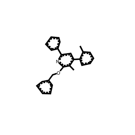 Cc1ccccc1-c1cc(-c2ccccc2)nc(OCc2ccccc2)c1C